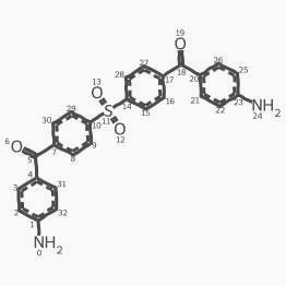 Nc1ccc(C(=O)c2ccc(S(=O)(=O)c3ccc(C(=O)c4ccc(N)cc4)cc3)cc2)cc1